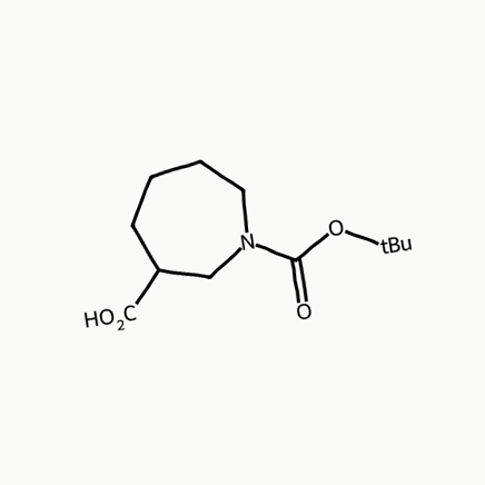 CC(C)(C)OC(=O)N1CCCCC(C(=O)O)C1